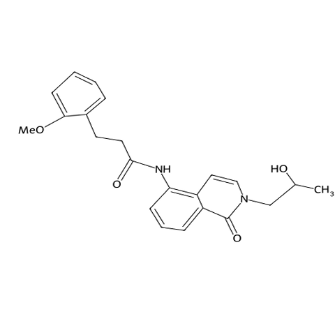 COc1ccccc1CCC(=O)Nc1cccc2c(=O)n(CC(C)O)ccc12